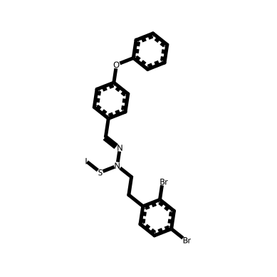 Brc1ccc(CCN(/N=C/c2ccc(Oc3ccccc3)cc2)SI)c(Br)c1